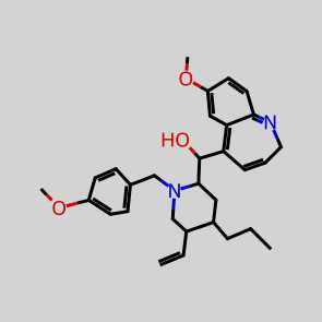 C=CC1CN(Cc2ccc(OC)cc2)C(C(O)C2=c3cc(OC)ccc3=NCC=C2)CC1CCC